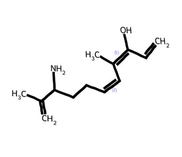 C=C/C(O)=C(C)\C=C/CCC(N)C(=C)C